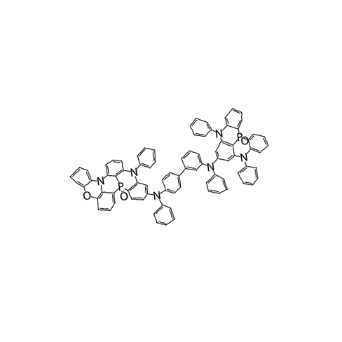 O=P12c3ccccc3N(c3ccccc3)c3cc(N(c4ccccc4)c4cccc(-c5ccc(N(c6ccccc6)c6ccc7c(c6)N(c6ccccc6)c6cccc8c6P7(=O)c6cccc7c6N8c6ccccc6O7)cc5)c4)cc(c31)N(c1ccccc1)c1ccccc12